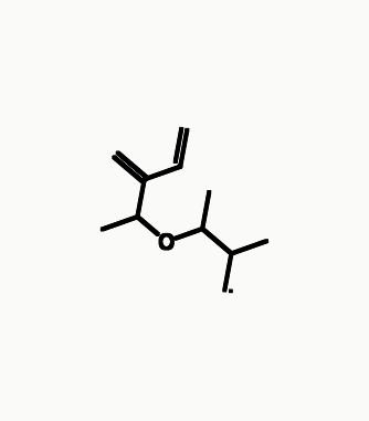 [CH2]C(C)C(C)OC(C)C(=C)C=C